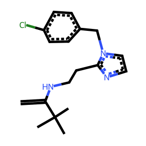 C=C(NCCc1nccn1Cc1ccc(Cl)cc1)C(C)(C)C